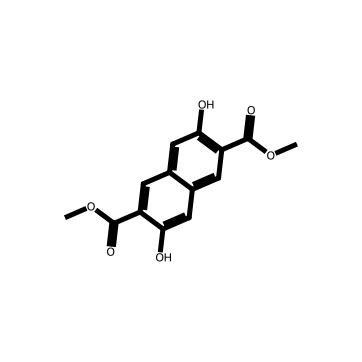 COC(=O)c1cc2cc(O)c(C(=O)OC)cc2cc1O